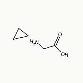 C1CC1.NCC(=O)O